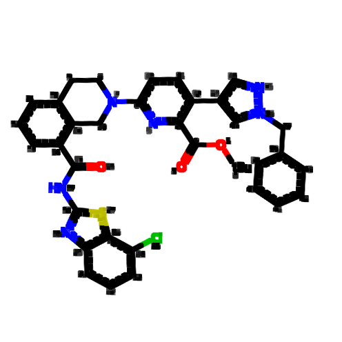 CC(C)(C)OC(=O)c1nc(N2CCc3cccc(C(=O)Nc4nc5cccc(Cl)c5s4)c3C2)ccc1-c1cnn(Cc2ccccc2)c1